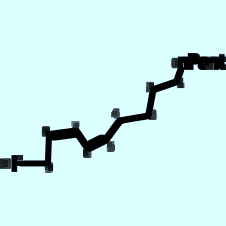 CCCCCCCCC/C=C\C=C/CF